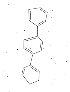 C1=CC(c2ccc(-c3ccccc3)cc2)=CCC1